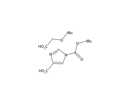 CC(C)(C)OC(=O)n1cnc(C(=O)O)c1.CC(C)(C)OCC(=O)O